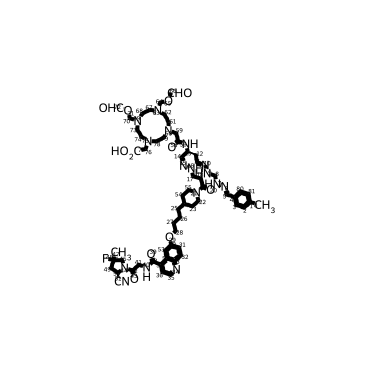 Cc1ccc(/C=N/NCN/N=C/C[C@@H](/C=N\NCCC(=O)N2CCC(CCCCOc3ccc4nccc(C(=O)NCC(=O)N5CC(C)(F)C[C@@H]5C#N)c4c3)CC2)NC(=O)CN2CCN(COC=O)CCN(COC=O)CCN(CC(=O)O)CC2)cc1